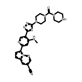 CNc1cc(-c2ccc3cc(C#N)cnn23)ncc1-c1nnc(N2CCN(C(=O)N3CCNCC3)CC2)s1